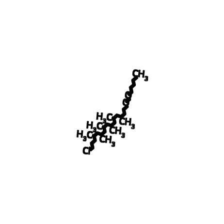 CCCCCCOCOCCCC(C)CC(C)CC(C)CC(C)CC(C)CC(C)CCCCl